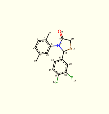 Cc1ccc(C)c(N2C(=O)CSC2c2ccc(F)c(F)c2)c1